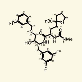 CCCCC1(CC[C@@H](NC(=O)NC)C(=O)N[C@@H](Cc2cc(F)cc(F)c2)C(O)CNCc2cccc(CC)c2)CCCO1